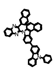 c1ccc(-n2c3ccccc3c3cc(-c4ccc5c(c4)c4c6ccccc6ccc4n5-c4nc5ccccc5nc4-c4ccc5ccccc5c4)ccc32)cc1